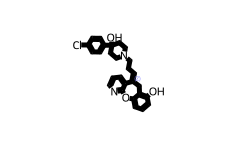 Oc1cccc2c1C/C(=C/CCN1CCC(O)(c3ccc(Cl)cc3)CC1)c1cccnc1O2